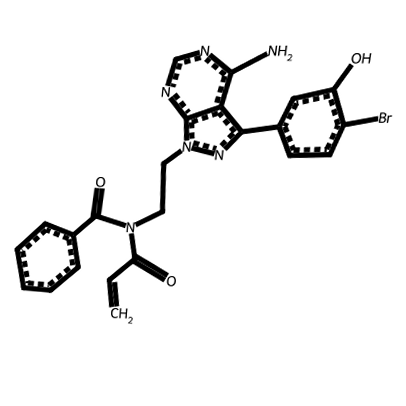 C=CC(=O)N(CCn1nc(-c2ccc(Br)c(O)c2)c2c(N)ncnc21)C(=O)c1ccccc1